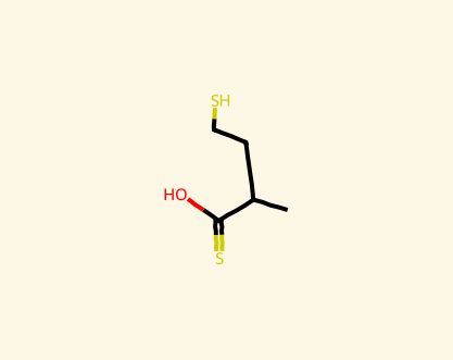 CC(CCS)C(O)=S